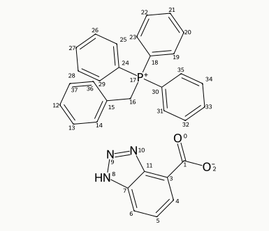 O=C([O-])c1cccc2[nH]nnc12.c1ccc(C[P+](c2ccccc2)(c2ccccc2)c2ccccc2)cc1